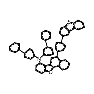 c1ccc(-c2ccc(N(c3cccc(-c4ccccc4)c3)c3cccc4oc5c6ccccc6c(-c6ccc(-c7ccc8sc9ccccc9c8c7)cc6)cc5c34)cc2)cc1